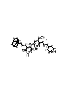 CCN(CC(=O)N[C@H](C(=O)O)C(CCCC12CC3CC(CC(C3)C1)C2)C(=O)O)C(=O)CCCC1CCNCC1